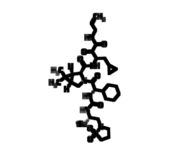 C=CCNC(=O)C(=O)C(CC1CC1)NC(=O)[C@@H]1[C@@H]2[C@H](CN1C(=O)[C@@H](NC(=O)N[C@H](CN1CCCS1(=O)=O)C(C)(C)C)C1CCCCC1)C2(C)C